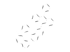 c1ccc(-c2c3ccccc3c(-c3ccc4cccc(-c5cccc6oc7ccc8ccccc8c7c56)c4c3)c3ccccc23)cc1